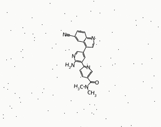 CN(C)C(=O)c1ccc(-c2cc(-c3ccnc4ccc(C#N)cc34)cnc2N)nc1